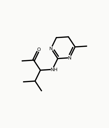 CC(=O)C(NC1=NCCC(C)=N1)C(C)C